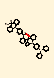 CC1(C)c2ccccc2N(c2ccc(B3c4ccccc4C4(c5ccccc5B(c5ccc(N(c6ccccc6)c6ccccc6)cc5)C5C=CC=CC54)C4C=CC=CC34)cc2)c2ccccc21